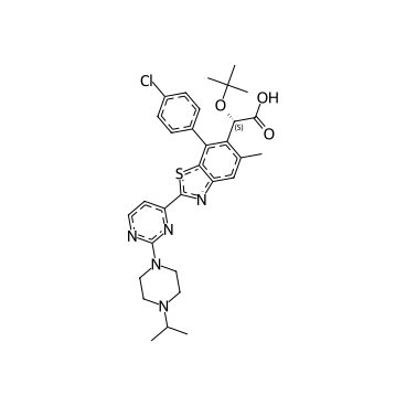 Cc1cc2nc(-c3ccnc(N4CCN(C(C)C)CC4)n3)sc2c(-c2ccc(Cl)cc2)c1[C@H](OC(C)(C)C)C(=O)O